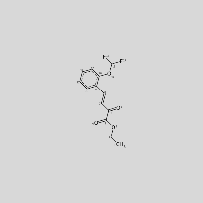 CCOC(=O)C(=O)C=Cc1ccccc1OC(F)F